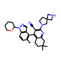 Cc1ccc2c(cnn2C2CCCCO2)c1-c1c(C#N)c(N2CCC3(CNC3)C2)nc2c1CCC(C)(C)C2